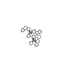 C1=CC2CCCC(N(C3=CC=CC4C3C3CCCCC3C43C4=C(C=CC(N(c5ccccc5)C5CCC6=C(C5)c5ccccc5CC6)C4)c4ccccc43)C3C=CCCC3)C2C=C1